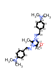 CC(=O)[O-].Cc1n(N=Cc2ccc(N(C)C)cc2)cc[n+]1N=Cc1ccc(N(C)C)cc1